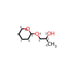 C[C@H](O)COC1CCCCO1